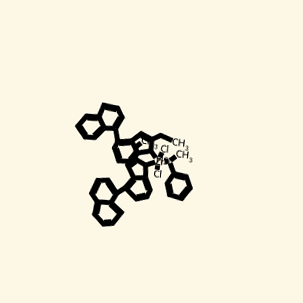 CCC1=Cc2c(-c3cccc4ccccc34)cccc2[CH]1[Zr]([Cl])([Cl])([CH]1C(CC)=Cc2c(-c3cccc4ccccc34)cccc21)[SiH](C)c1ccccc1